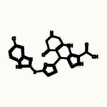 O=C1CNCC2=C1C(c1ccc(Sc3nc4cc(Cl)ccc4[nH]3)o1)c1c[nH]c(C(=O)O)c1N2